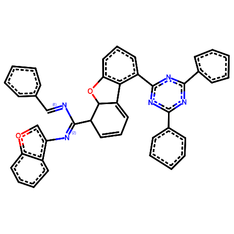 C1=CC(C(=N/c2coc3ccccc23)/N=C/c2ccccc2)C2Oc3cccc(-c4nc(-c5ccccc5)nc(-c5ccccc5)n4)c3C2=C1